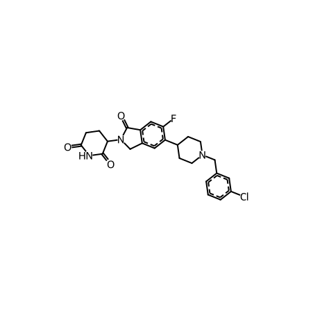 O=C1CCC(N2Cc3cc(C4CCN(Cc5cccc(Cl)c5)CC4)c(F)cc3C2=O)C(=O)N1